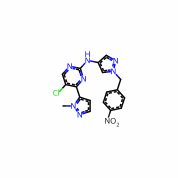 Cn1nccc1-c1nc(Nc2cnn(Cc3ccc([N+](=O)[O-])cc3)c2)ncc1Cl